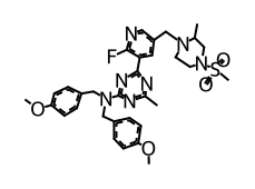 COc1ccc(CN(Cc2ccc(OC)cc2)c2nc(C)nc(-c3cc(CN4CCN(S(C)(=O)=O)CC4C)cnc3F)n2)cc1